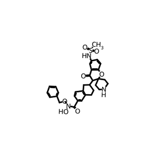 CS(=O)(=O)Nc1ccc2c(c1)C(=O)C(C1CCc3cc(C(=O)N(O)OCc4ccccc4)ccc3C1)C1(CCNCC1)O2